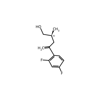 C=C(C[C@H](C)CO)c1ccc(F)cc1F